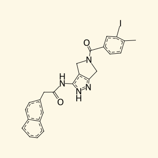 Cc1ccc(C(=O)N2Cc3n[nH]c(NC(=O)Cc4ccc5ccccc5c4)c3C2)cc1I